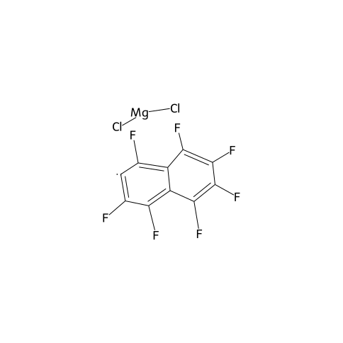 Fc1[c]c(F)c2c(F)c(F)c(F)c(F)c2c1F.[Cl][Mg][Cl]